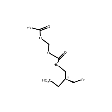 CC(C)C[C@H](CNC(=O)OCOC(=O)C(C)(C)C)CC(=O)O